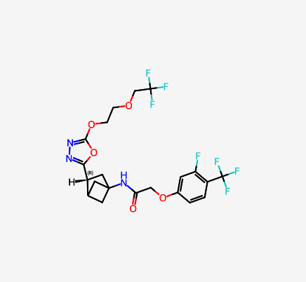 O=C(COc1ccc(C(F)(F)F)c(F)c1)NC12CC(C1)[C@H](c1nnc(OCCOCC(F)(F)F)o1)C2